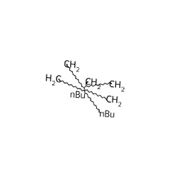 C=CCCCCCCCCCCC(C(C=C)CCCCCCCCCC=C)C(CCCCCCCCCC=C)(CCCCCCCCCCC=C)C(CCCC)CCCCCCCCC=CCCCC